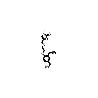 CC(C)Cc1ccc(OCCSCc2c[nH]c(=S)o2)c(CC(C)C)c1